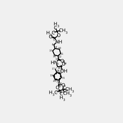 CC(C)(C)OC(=O)NCC1CCC(C(=O)N[C@@H](Cc2ccc(B3OC(C)(C)C(C)(C)O3)cc2)C(=O)O)CC1